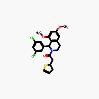 COc1cc2c(c(OC)c1)C(c1cc(Cl)cc(Cl)c1)N(C(=O)CC1CC=CS1)CC2